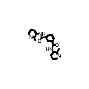 Cc1ncccc1NC(=O)c1cccc(C(=O)Nc2cccnc2C)c1